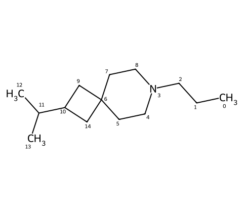 CCCN1CCC2(CC1)CC(C(C)C)C2